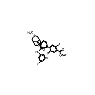 COC(=O)c1cc(F)c(-c2ccc(C3(O)C4CN(C)CC3CN(C(=O)Nc3cc(F)cc(F)c3)C4)cc2)cc1F